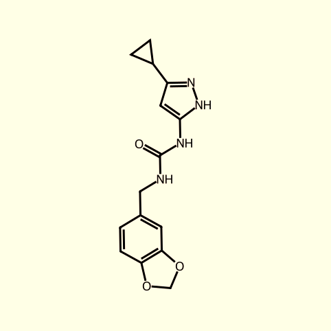 O=C(NCc1ccc2c(c1)OCO2)Nc1cc(C2CC2)n[nH]1